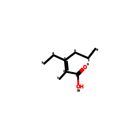 CCCC(CC)=C(C)C(=O)O